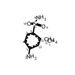 C.C.Nc1ccc(S(N)(=O)=O)cc1